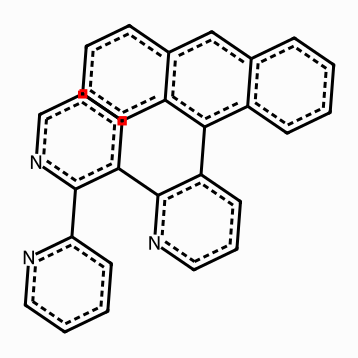 c1ccc(-c2ncccc2-c2ncccc2-c2c3ccccc3cc3ccccc23)nc1